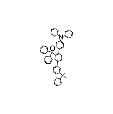 CC1(C)c2ccccc2-c2ccc(-c3ccc4c(c3)C(c3ccccc3)(c3ccccc3)Oc3cc(N(c5ccccc5)c5ccccc5)ccc3-4)cc21